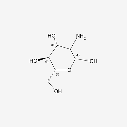 NC1[C@H](O)O[C@H](CO)[C@@H](O)[C@@H]1O